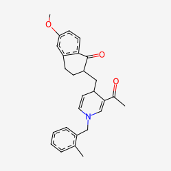 COc1ccc2c(c1)CCC(CC1C=CN(Cc3ccccc3C)C=C1C(C)=O)C2=O